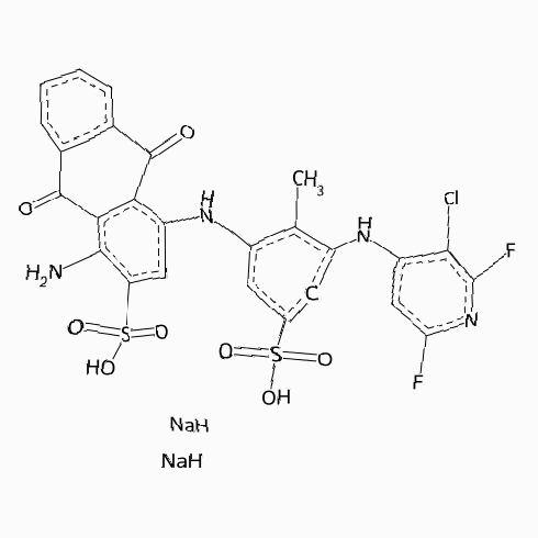 Cc1c(Nc2cc(F)nc(F)c2Cl)cc(S(=O)(=O)O)cc1Nc1cc(S(=O)(=O)O)c(N)c2c1C(=O)c1ccccc1C2=O.[NaH].[NaH]